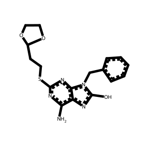 Nc1nc(SCCC2OCCO2)nc2c1nc(O)n2Cc1ccccc1